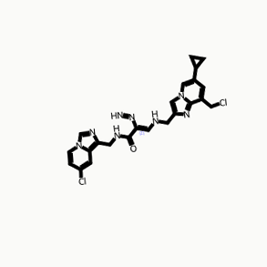 N=N/C(=C\NCc1cn2cc(C3CC3)cc(CCl)c2n1)C(=O)NCc1ncn2ccc(Cl)cc12